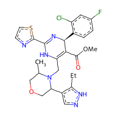 CCc1[nH]ncc1C1COCC(C)N1CC1=C(C(=O)OC)[C@H](c2ccc(F)cc2Cl)N=C(c2nccs2)N1